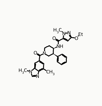 CCOc1cc(C(=O)N[C@@H]2CCN(C(=O)c3cc(C)c4ncn(C)c4c3)C[C@@H]2c2ccccc2)n(C)n1